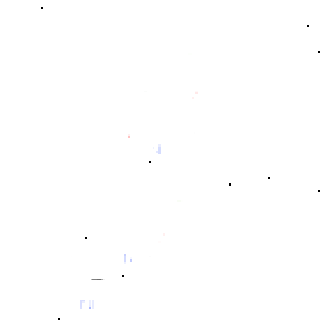 NC(=O)[C@@H]1CCC(=O)N1Cc1cc(F)c(-n2ccc(OCc3ccc(F)cc3F)c(Cl)c2=O)c(F)c1